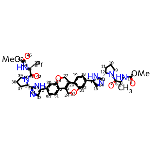 COC(=O)N[C@@H](C)C(=O)N1CCC[C@H]1c1ncc(-c2ccc3c(c2)OCC2=C3COc3cc(-c4cnc([C@@H]5CCCN5C(=O)[C@@H](NC(=O)OC)C(C)C)[nH]4)ccc32)[nH]1